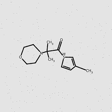 CC1=C[SH](C(=O)C(C)(C)N2CCOCC2)C=C1